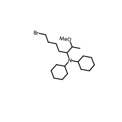 COC(C)C(CCCCBr)N(C1CCCCC1)C1CCCCC1